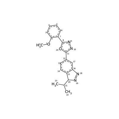 COc1ccccc1-c1nnc(-c2ccc3c(c2)N=NC3C(C)C)o1